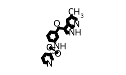 Cc1cnc2[nH]cc(C(=O)c3cccc(NS(=O)(=O)c4cccnc4)c3)c2c1